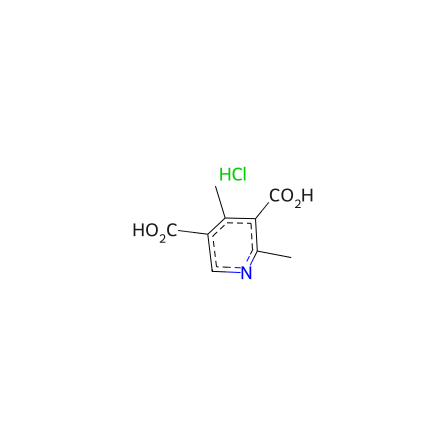 Cc1ncc(C(=O)O)c(C)c1C(=O)O.Cl